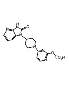 O=C(O)Oc1nccc(N2CCC(n3c(=O)[nH]c4ncccc43)CC2)n1